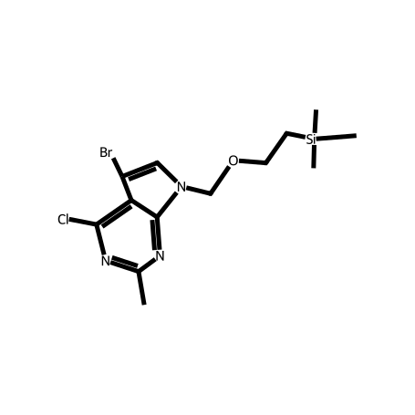 Cc1nc(Cl)c2c(Br)cn(COCC[Si](C)(C)C)c2n1